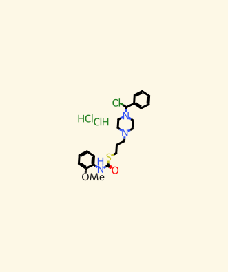 COc1ccccc1NC(=O)SCCCN1CCN(C(Cl)c2ccccc2)CC1.Cl.Cl